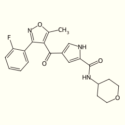 Cc1onc(-c2ccccc2F)c1C(=O)c1c[nH]c(C(=O)NC2CCOCC2)c1